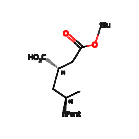 CCCCC[C@H](C)C[C@@H](CC(=O)OC(C)(C)C)C(=O)O